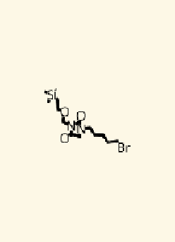 C[Si](C)(C)CCOCN1C(=O)CN(CCCCCBr)C1=O